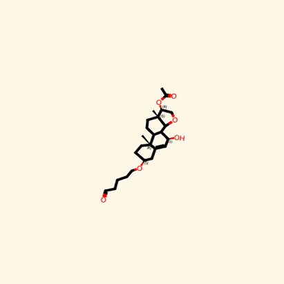 CC(=O)O[C@H]1COC2C3C(CC[C@@]21C)[C@@]1(C)CC[C@H](OCCCCC=O)CC1=C[C@@H]3O